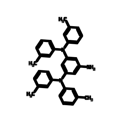 Cc1cccc(N(c2cccc(C)c2)c2cc(N)cc(N(c3cccc(C)c3)c3cccc(C)c3)c2)c1